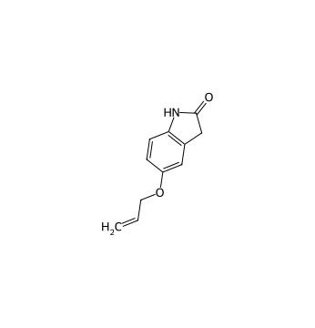 C=CCOc1ccc2c(c1)CC(=O)N2